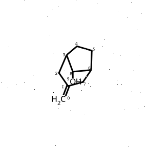 C=C1CC2CCC(C1)C2O